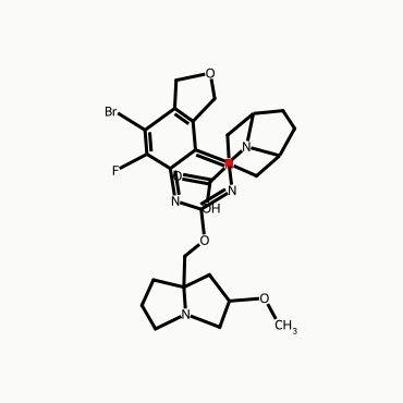 COC1CN2CCCC2(COc2nc(N3C4CCC3CN(C(=O)O)C4)c3c4c(c(Br)c(F)c3n2)COC4)C1